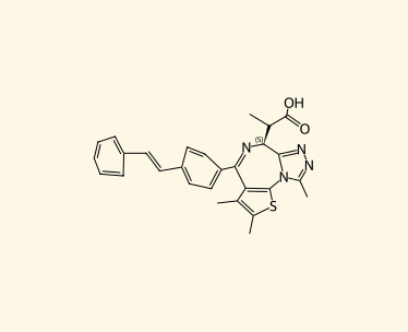 Cc1sc2c(c1C)C(c1ccc(C=Cc3ccccc3)cc1)=N[C@@H](C(C)C(=O)O)c1nnc(C)n1-2